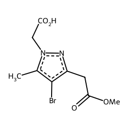 COC(=O)Cc1nn(CC(=O)O)c(C)c1Br